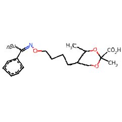 CCCCC(=NOCCCCC1COC(C)(C(=O)O)OC1C)c1ccccc1